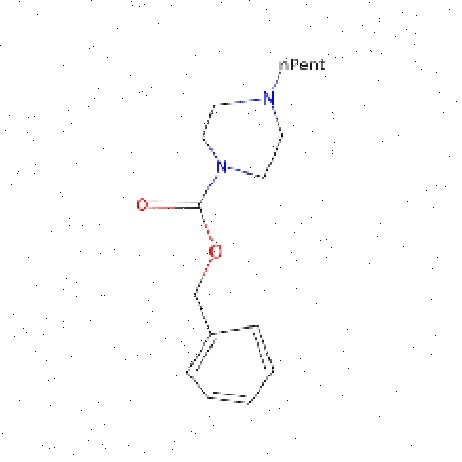 CCCCCN1CCN(C(=O)OCc2ccccc2)CC1